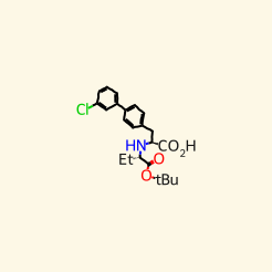 CC[C@H](N[C@@H](Cc1ccc(-c2cccc(Cl)c2)cc1)C(=O)O)C(=O)OC(C)(C)C